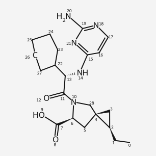 CC[C@@H]1C[C@]12C[C@@H](C(=O)O)N(C(=O)[C@@H](Nc1ccnc(N)n1)C1CCCCC1)C2